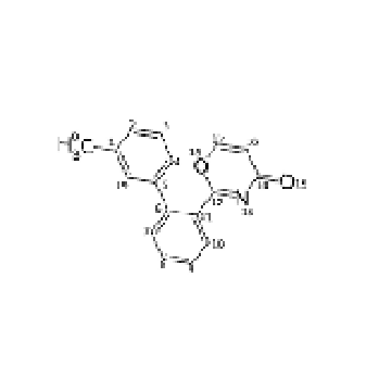 Cc1cccc(-c2ccccc2-c2nc(=O)cco2)c1